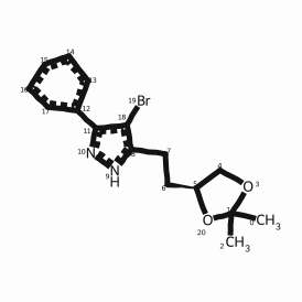 CC1(C)OC[C@H](CCc2[nH]nc(-c3ccccc3)c2Br)O1